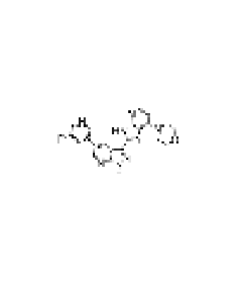 Fc1cncc(-c2cnc3[nH]nc(-c4nc5c(N6CCOCC6)ccnc5[nH]4)c3c2)c1